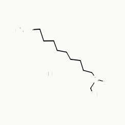 CCCCCCCCCCCCCCCCCCN(CC)CO.Cl